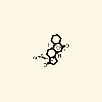 CC(=O)SC[C@]12CC[C@H]3[C@@H](CC(=O)C4CCCC[C@@]43C)[C@@H]1CCC2=O